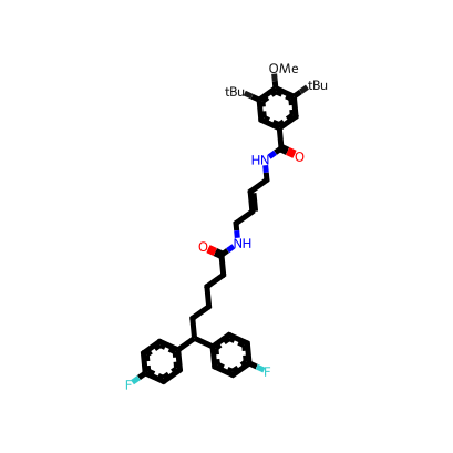 COc1c(C(C)(C)C)cc(C(=O)NCC=CCNC(=O)CCCCC(c2ccc(F)cc2)c2ccc(F)cc2)cc1C(C)(C)C